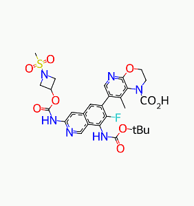 Cc1c(-c2cc3cc(NC(=O)OC4CN(S(C)(=O)=O)C4)ncc3c(NC(=O)OC(C)(C)C)c2F)cnc2c1N(C(=O)O)CCO2